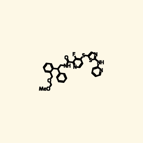 COCOCc1ccccc1C(CNC(=O)c1nccc(Sc2cnc(Nc3ccccn3)s2)c1F)c1ccccc1